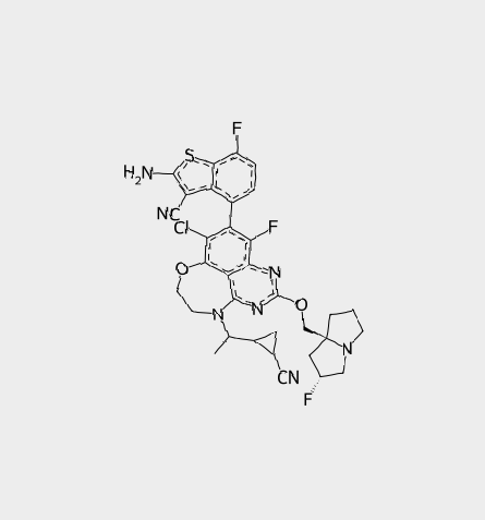 CC(C1CC1C#N)N1CCOc2c(Cl)c(-c3ccc(F)c4sc(N)c(C#N)c34)c(F)c3nc(OC[C@@]45CCCN4C[C@H](F)C5)nc1c23